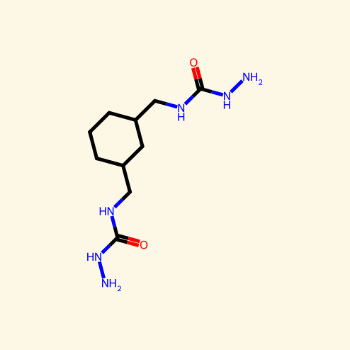 NNC(=O)NCC1CCCC(CNC(=O)NN)C1